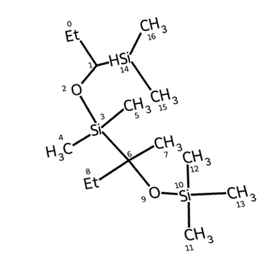 CCC(O[Si](C)(C)C(C)(CC)O[Si](C)(C)C)[SiH](C)C